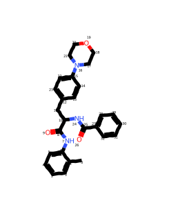 Cc1ccccc1NC(=O)C(Cc1ccc(N2CCOCC2)cc1)NC(=O)c1ccccc1